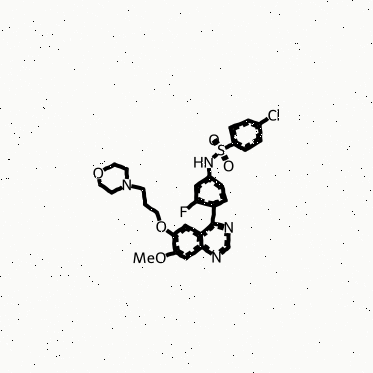 COc1cc2ncnc(-c3ccc(NS(=O)(=O)c4ccc(Cl)cc4)cc3F)c2cc1OCCCN1CCOCC1